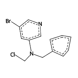 ClCN(Cc1ccccc1)c1cncc(Br)c1